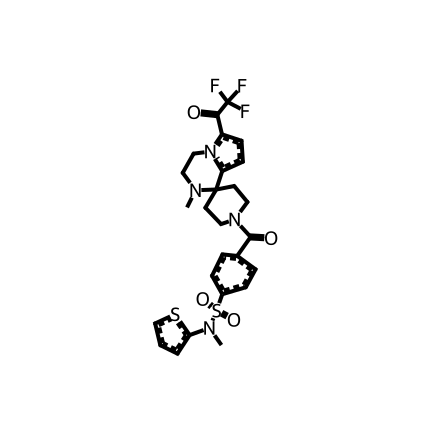 CN1CCn2c(C(=O)C(F)(F)F)ccc2C12CCN(C(=O)c1ccc(S(=O)(=O)N(C)c3cccs3)cc1)CC2